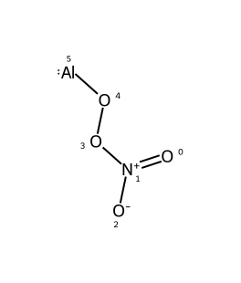 O=[N+]([O-])O[O][Al]